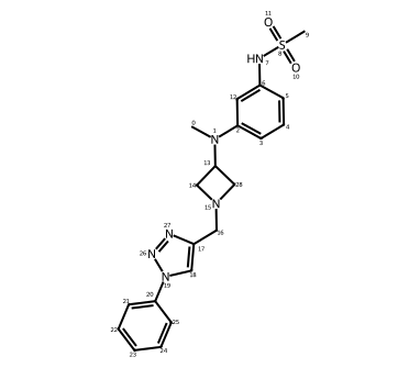 CN(c1cccc(NS(C)(=O)=O)c1)C1CN(Cc2cn(-c3ccccc3)nn2)C1